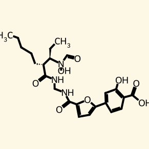 CCCCC[C@@H](C(=O)NCNC(=O)c1ccc(-c2ccc(C(=O)O)c(O)c2)o1)[C@@H](CC)N(O)C=O